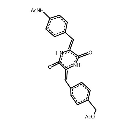 CC(=O)Nc1ccc(C=c2[nH]c(=O)c(=Cc3ccc(COC(C)=O)cc3)[nH]c2=O)cc1